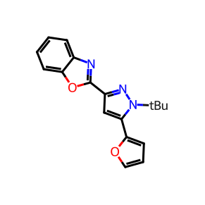 CC(C)(C)n1nc(-c2nc3ccccc3o2)cc1-c1ccco1